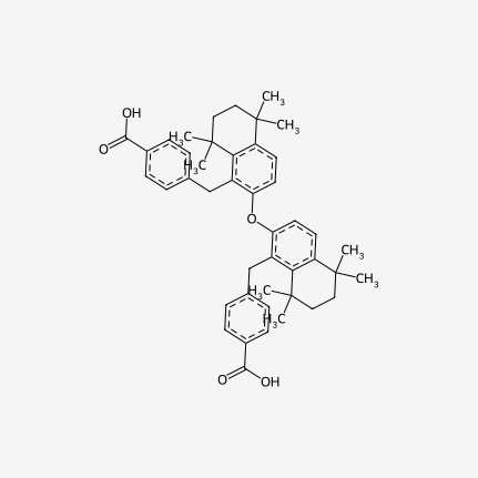 CC1(C)CCC(C)(C)c2c1ccc(Oc1ccc3c(c1Cc1ccc(C(=O)O)cc1)C(C)(C)CCC3(C)C)c2Cc1ccc(C(=O)O)cc1